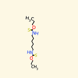 CCCOC(=S)NCCCCCCNC(=S)OCCC